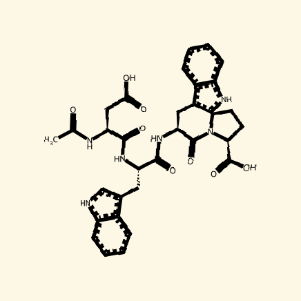 CC(=O)N[C@@H](CC(=O)O)C(=O)N[C@@H](Cc1c[nH]c2ccccc12)C(=O)N[C@@H](Cc1c[nH]c2ccccc12)C(=O)N1CCC[C@H]1C(=O)O